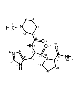 CN1CCCC(C(=O)NC(Cc2cnc[nH]2)C(=O)N2CCCC2C(N)=O)C1